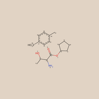 CC(O)C(N)C(=O)OC1CCCC1.Cc1ccc(S(=O)(=O)O)cc1